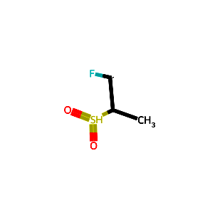 CC([CH]F)[SH](=O)=O